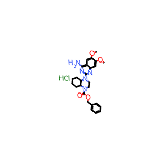 COc1cc2nc(N3CCN(C(=O)OCc4ccccc4)C4CCCCC43)nc(N)c2cc1OC.Cl